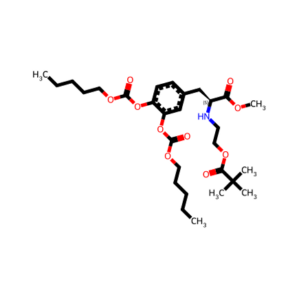 CCCCCOC(=O)Oc1ccc(C[C@H](NCCOC(=O)C(C)(C)C)C(=O)OC)cc1OC(=O)OCCCCC